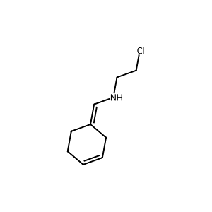 ClCCNC=C1CC=CCC1